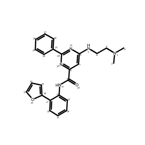 CN(C)CCNc1cc(C(=O)Nc2ccccc2-c2ccco2)nc(-c2ccccc2)n1